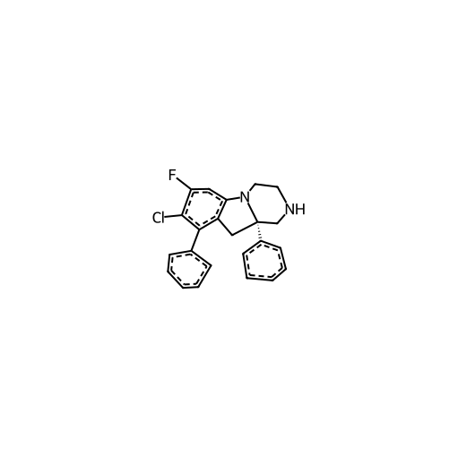 Fc1cc2c(c(-c3ccccc3)c1Cl)C[C@]1(c3ccccc3)CNCCN21